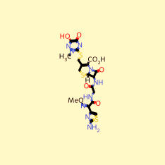 CON=C(C(=O)NCC(=O)NC1C(=O)N2C(C(=O)O)=C(CSc3nc(=O)c(O)nn3C)CS[C@@H]12)c1csc(N)n1